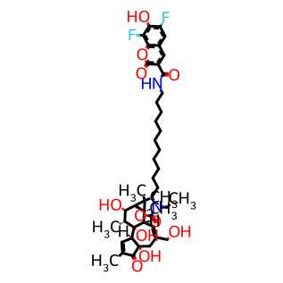 CCN(CCCCCCCCCCCCNC(=O)c1cc2cc(F)c(O)c(F)c2oc1=O)C(=O)O[C@@]12[C@H](O)[C@@H](C)[C@@]3(O)[C@@H](C=C(CO)C[C@]4(O)C(=O)C(C)=C[C@@H]34)[C@]1(C)C2(C)C